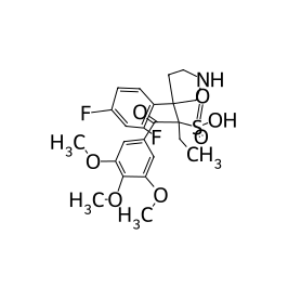 CCC(C(=O)c1cc(OC)c(OC)c(OC)c1)(C1(c2ccc(F)cc2F)CCNC1)S(=O)(=O)O